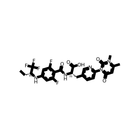 CC[C@@H](Nc1cc(F)c(C(=O)N[C@@H](Cc2ccc(-n3c(=O)cc(C)n(C)c3=O)nc2)C(=O)O)c(F)c1)C(F)(F)F